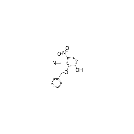 N#Cc1c([N+](=O)[O-])ccc(O)c1OCc1ccccc1